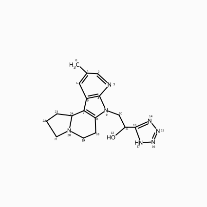 Cc1cnc2c(c1)c1c(n2CC(O)c2nnn[nH]2)CCN2CCCC12